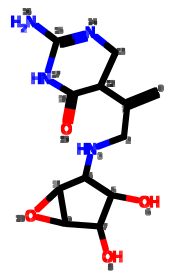 C=C(CNC1C(O)C(O)C2OC12)C1CN=C(N)NC1=O